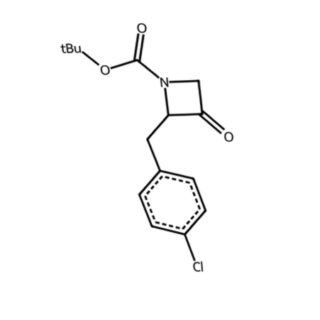 CC(C)(C)OC(=O)N1CC(=O)C1Cc1ccc(Cl)cc1